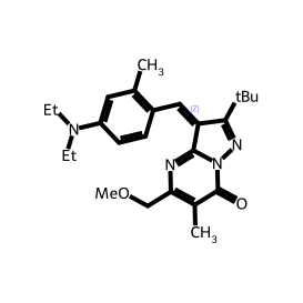 CCN(CC)c1ccc(/C=c2/c(C(C)(C)C)nn3c(=O)c(C)c(COC)nc23)c(C)c1